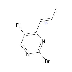 C/C=C/c1nc(Br)ncc1F